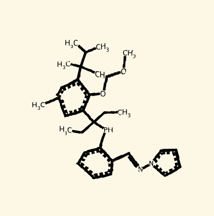 CCC(CC)(Pc1ccccc1/C=N/n1cccc1)c1cc(C)cc(C(C)(C)C(C)C)c1OCOC